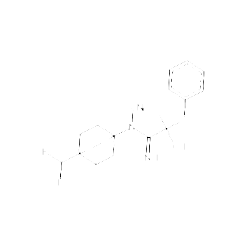 CC(C)(Oc1ccccc1)C(=N)N(C#N)C12CCC(C(F)F)(CC1)CC2